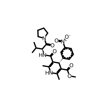 COC(=O)C1=C(C)NC(C)=C(C(=O)N[C@H](C(=O)N2CCCC2)C(C)C)[C@@H]1c1cccc([N+](=O)[O-])c1